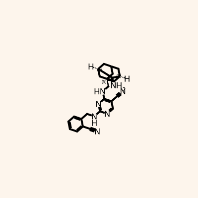 N#Cc1ccccc1CNc1ncc(C#N)c(NC[C@]23CC4C[C@H](C2)[C@@H](N)[C@@H](C4)C3)n1